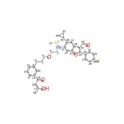 CSN(CCOCCCc1cccc(C(=O)/C=C(/C)O)c1)c1cc2oc(-c3ccc(F)cc3)c(C=O)c2cc1C1CC1